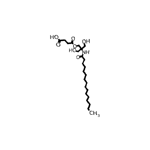 CCCCCCCCCCCCCCCC(=O)NC(CO)(CO)COC(=O)CCC(=O)O